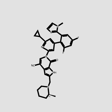 C[C@H]1CCCCN1Cc1cc2c(C#N)cn(-c3cc(-c4c(F)cc(F)cc4-c4nccn4C)cc(C4CC4)n3)c(=O)c2[nH]1